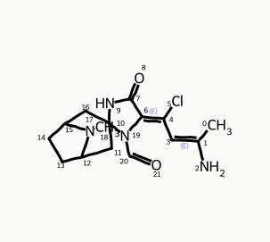 C/C(N)=C\C(Cl)=C1\C(=O)NC2(CC3CCC(C2)N3C)N1C=O